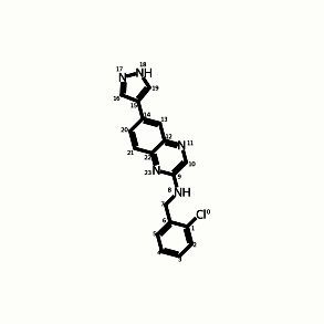 Clc1ccccc1CNc1cnc2cc(-c3cn[nH]c3)ccc2n1